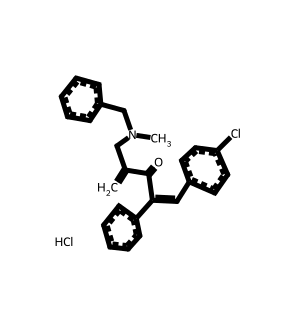 C=C(CN(C)Cc1ccccc1)C(=O)/C(=C\c1ccc(Cl)cc1)c1ccccc1.Cl